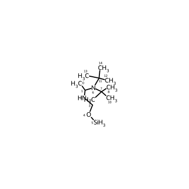 CC(NCO[SiH3])N(C(C)(C)C)C(C)(C)C